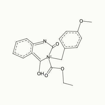 CCOC(=O)[N+]1(Cc2ccc(OC)cc2)C(=O)N=c2ccccc2=C1O